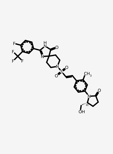 Cc1cc(N2C(=O)CC[C@@H]2CO)ccc1C=CS(=O)(=O)N1CCC2(CC1)N=C(c1ccc(F)c(C(F)(F)F)c1)NC2=O